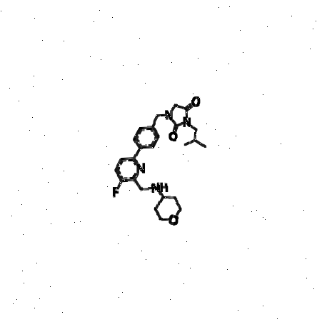 CC(C)CN1C(=O)CN(Cc2ccc(-c3ccc(F)c(CNC4CCOCC4)n3)cc2)C1=O